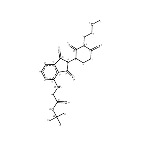 COCCN1C(=O)CCC(N2C(=O)c3cccc(NCC(=O)OC(C)(C)C)c3C2=O)C1=O